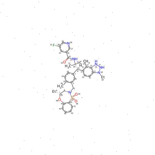 CC[C@@H]1CN(Cc2cc([C@@H](c3ccc4c(c3C)NNN4CC)C(C)(C)NC(=O)c3cncc(F)c3)ccc2C)S(=O)(=O)c2ccccc2O1